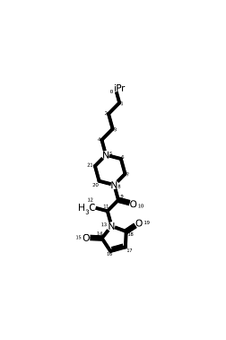 CC(C)CCCCN1CCN(C(=O)C(C)N2C(=O)C=CC2=O)CC1